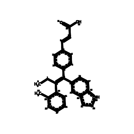 CCC(=C(c1ccc(C=CC(=O)O)cc1)c1ccc2[nH]ncc2c1)c1cccnc1C